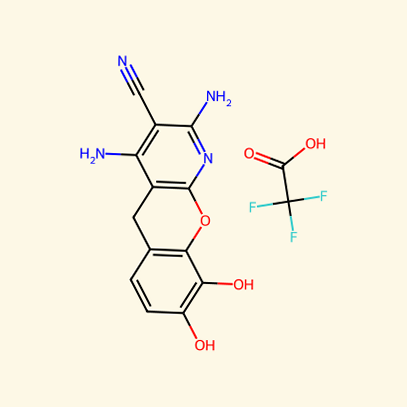 N#Cc1c(N)nc2c(c1N)Cc1ccc(O)c(O)c1O2.O=C(O)C(F)(F)F